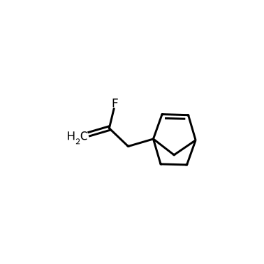 C=C(F)CC12C=CC(CC1)C2